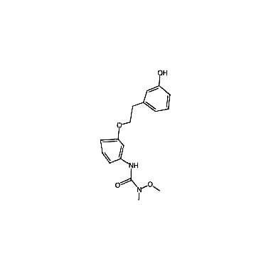 CON(C)C(=O)Nc1cccc(OCCc2cccc(O)c2)c1